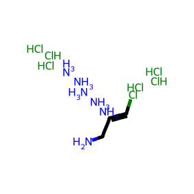 Cl.Cl.Cl.Cl.Cl.Cl.N.N.N.N.N.NCC=CCl